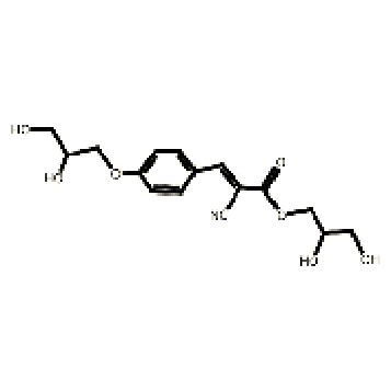 N#C/C(=C\c1ccc(OCC(O)CO)cc1)C(=O)OCC(O)CO